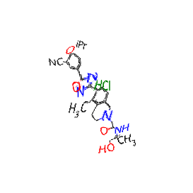 Cc1c(-c2noc(-c3ccc(OC(C)C)c(C#N)c3)n2)ccc2c1CCN(CC(=O)N[C@H](C)CO)C2.Cl